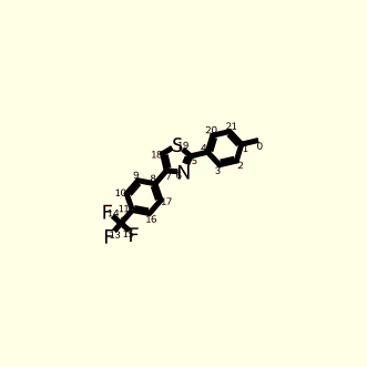 Cc1ccc(-c2nc(-c3ccc(C(F)(F)F)cc3)cs2)cc1